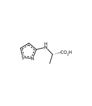 C[C@H](Nc1ccsn1)C(=O)O